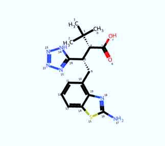 CC(C)(C)[C@H](C(=O)O)[C@H](Cc1cccc2sc(N)nc12)c1nnn[nH]1